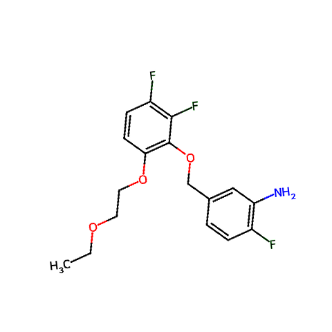 CCOCCOc1ccc(F)c(F)c1OCc1ccc(F)c(N)c1